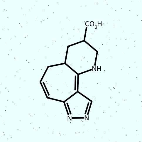 O=C(O)C1CNC2=C3C=NN=C3C=CCC2C1